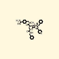 CN(Cc1ccc(C(=N)N)cc1)C(=O)[C@H](CCC(=O)NCc1ccccc1)NC(=O)[C@@H](CCc1ccncc1)NS(=O)(=O)Cc1ccccc1